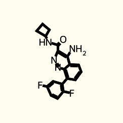 Nc1c(C(=O)NC2CCC2)nnc2c(-c3cc(F)ccc3F)cccc12